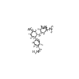 CN(C)c1cc(Sc2cc(C#N)ccc2-c2ccc(CN)cn2)cnn1